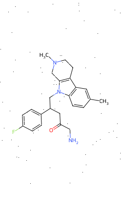 Cc1ccc2c(c1)c1c(n2CC(CC(=O)CN)c2ccc(F)cc2)CN(C)CC1